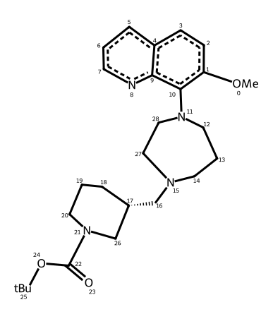 COc1ccc2cccnc2c1N1CCCN(C[C@H]2CCCN(C(=O)OC(C)(C)C)C2)CC1